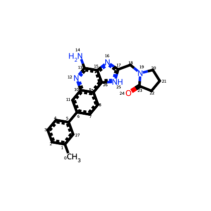 Cc1cccc(-c2ccc3c(c2)nc(N)c2nc(CN4CCCC4=O)[nH]c23)c1